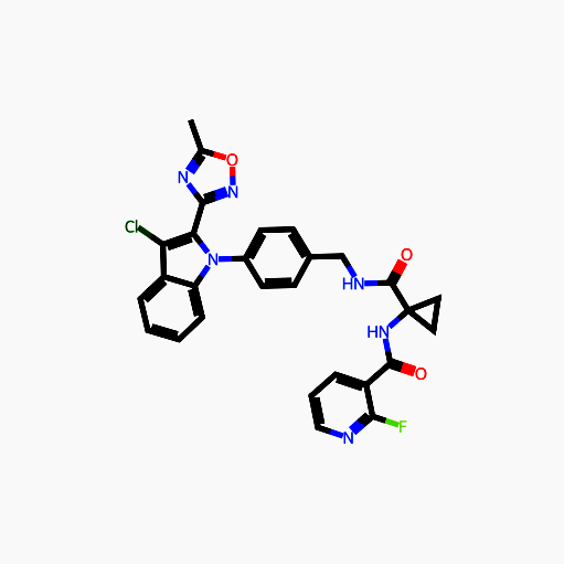 Cc1nc(-c2c(Cl)c3ccccc3n2-c2ccc(CNC(=O)C3(NC(=O)c4cccnc4F)CC3)cc2)no1